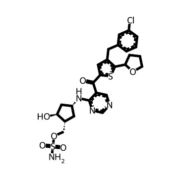 NS(=O)(=O)OC[C@H]1C[C@@H](Nc2ncncc2C(=O)c2cc(Cc3cccc(Cl)c3)c(C3CCCO3)s2)C[C@@H]1O